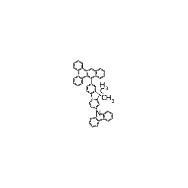 CC1(C)c2cc(-c3c4ccccc4cc4c5ccccc5c5ccccc5c34)ccc2-c2ccc(-n3c4ccccc4c4ccccc43)cc21